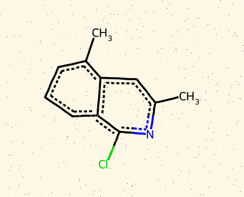 Cc1cc2c(C)cccc2c(Cl)n1